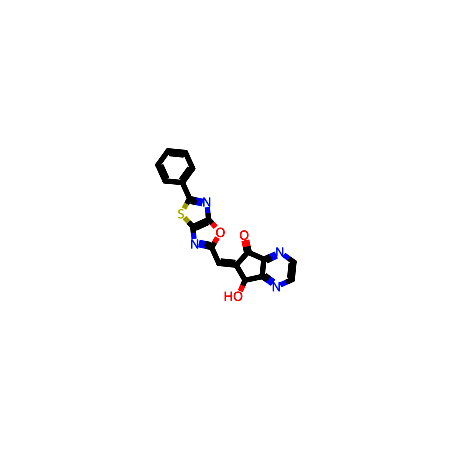 O=C1/C(=C\c2nc3sc(-c4ccccc4)nc3o2)C(O)c2nccnc21